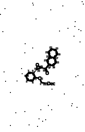 CCCCCCCCCCCOc1ccccc1[C@@H]1O[C@H]1C(=O)c1ccc2ccccc2c1